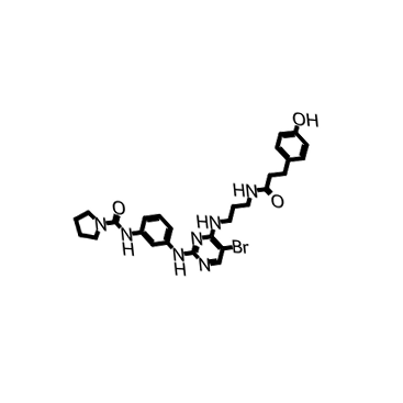 O=C(CCc1ccc(O)cc1)NCCCNc1nc(Nc2cccc(NC(=O)N3CCCC3)c2)ncc1Br